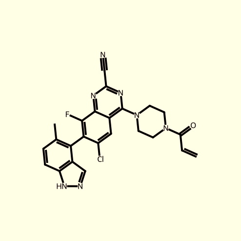 C=CC(=O)N1CCN(c2nc(C#N)nc3c(F)c(-c4c(C)ccc5[nH]ncc45)c(Cl)cc23)CC1